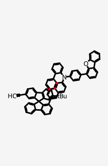 C#Cc1ccc2c(c1)C1(c3cc(C(C)(C)C)ccc3-2)c2ccccc2-c2cccc(-c3ccc4cc(N(c5ccc(-c6cccc7c6oc6ccccc67)cc5)c5ccccc5-c5ccccc5)ccc4c3)c21